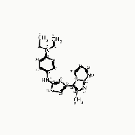 CCN(CC)c1ccc(Nc2nc(-c3c(C)nc4ncccn34)cs2)cc1